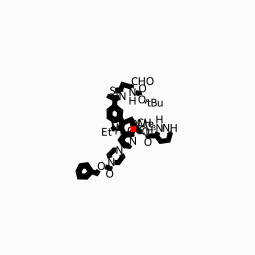 CCn1c(-c2cc(N3CCN(C(=O)OCc4ccccc4)CC3)cnc2[C@H](C)OC)c(CC(C)(C)COC(=O)C2CCCNN2)c2cc(-c3csc(C[C@@H](C=O)NC(=O)OC(C)(C)C)n3)ccc21